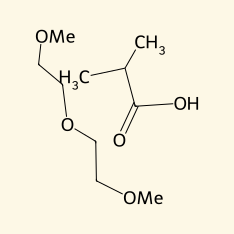 CC(C)C(=O)O.COCCOCCOC